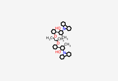 Cc1cc(-c2ccccc2OC(C)C[C@@H](C)Oc2ccccc2-c2cc(C)cc(-n3c4ccccc4c4ccccc43)c2O)c(O)c(-n2c3ccccc3c3ccccc32)c1